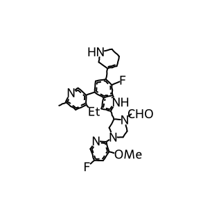 CCc1cc(C)ncc1-c1cc(C2=CCCNC2)c(F)c2[nH]c(C3CN(c4ncc(F)cc4OC)CCN3C=O)cc12